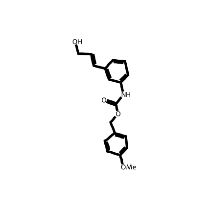 COc1ccc(COC(=O)Nc2cccc(/C=C/CO)c2)cc1